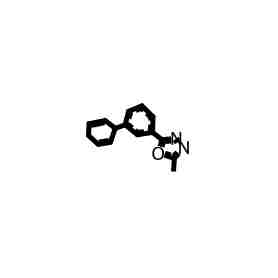 Cc1nnc(-c2cccc(C3C=CCC=C3)c2)o1